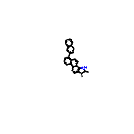 CC1Nc2c(ccc3c2ccc2c(-c4ccc5ccccc5c4)cccc23)C1C